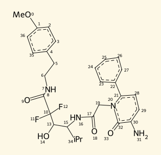 COc1ccc(CCNC(=O)C(F)(F)C(O)C(NC(=O)Cn2c(-c3ccccc3)ccc(N)c2=O)C(C)C)cc1